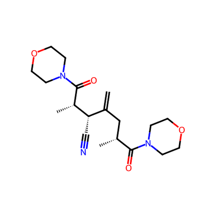 C=C(C[C@@H](C)C(=O)N1CCOCC1)[C@H](C#N)[C@H](C)C(=O)N1CCOCC1